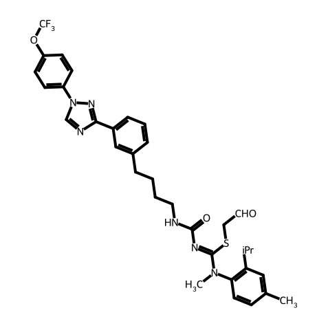 Cc1ccc(N(C)/C(=N/C(=O)NCCCCc2cccc(-c3ncn(-c4ccc(OC(F)(F)F)cc4)n3)c2)SCC=O)c(C(C)C)c1